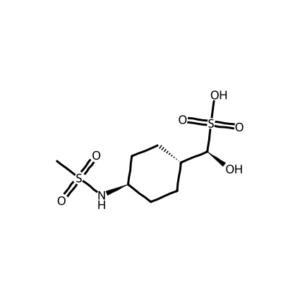 CS(=O)(=O)N[C@H]1CC[C@H]([C@H](O)S(=O)(=O)O)CC1